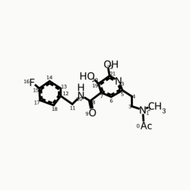 CC(=O)N(C)CCc1cc(C(=O)NCc2ccc(F)cc2)c(O)c(O)n1